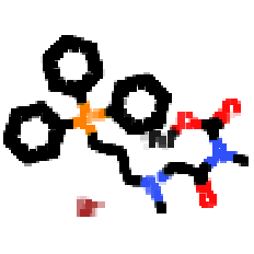 CN(CCC[P+](c1ccccc1)(c1ccccc1)c1ccccc1)CC(=O)N(C)C(=O)OC(C)(C)C.[Br-]